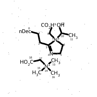 CCCCCCCCCCCCC1=NCC[N+]1(CC(=O)O)C(C)O.C[N+](C)(C)CC(=O)O